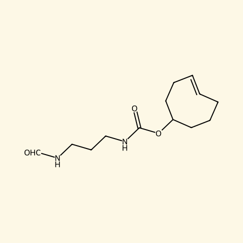 O=CNCCCNC(=O)OC1CC/C=C/CCC1